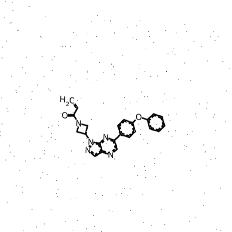 C=CC(=O)N1CC(n2ncc3ncc(-c4ccc(Oc5ccccc5)cc4)nc32)C1